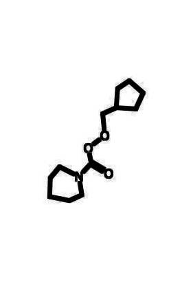 O=C(OOCC1CCCC1)N1CCCCC1